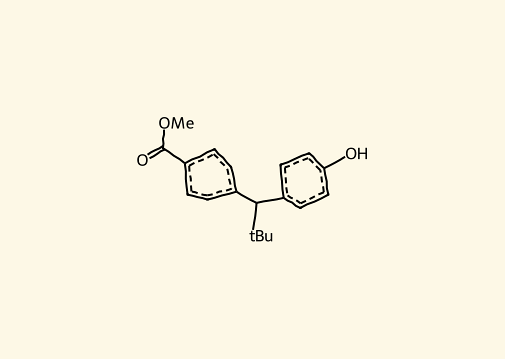 COC(=O)c1ccc(C(c2ccc(O)cc2)C(C)(C)C)cc1